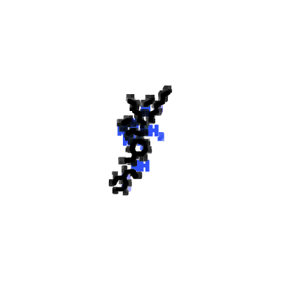 C=C(/C=C(\C=C/C)CC)NC(=C)C1=CCC=C(/C(N)=C2\C(N)=NC=CN2C(C)C(CCC)N(CC)C(=C)/C=C/CCC)C=C1